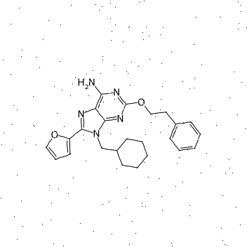 Nc1nc(OCCc2ccccc2)nc2c1nc(-c1ccco1)n2CC1CCCCC1